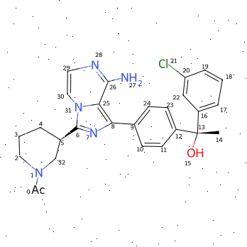 CC(=O)N1CCC[C@@H](c2nc(-c3ccc([C@@](C)(O)c4cccc(Cl)c4)cc3)c3c(N)nccn23)C1